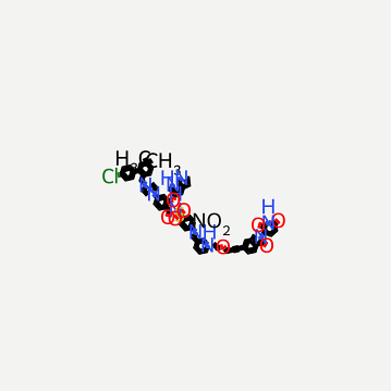 CC1(C)CCC(CN2CCN(c3ccc(C(=O)NS(=O)(=O)c4ccc(NCC5CCCN(CCOCC#Cc6ccc7c(c6)CN(C6CCC(=O)NC6=O)C7=O)C5)c([N+](=O)[O-])c4)c(Oc4cnc5[nH]ccc5c4)c3)CC2)=C(c2ccc(Cl)cc2)C1